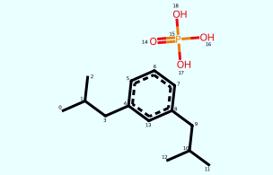 CC(C)Cc1cccc(CC(C)C)c1.O=P(O)(O)O